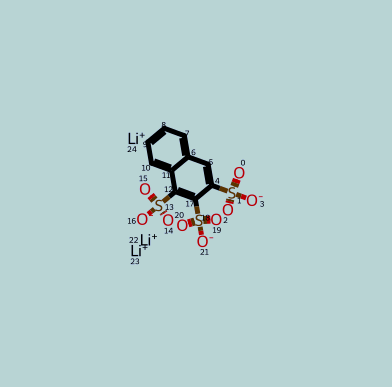 O=S(=O)([O-])c1cc2ccccc2c(S(=O)(=O)[O-])c1S(=O)(=O)[O-].[Li+].[Li+].[Li+]